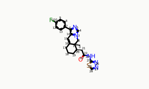 C[C@]12Cn3cnc(-c4ccc(F)cc4)c3C=C1CCC[C@@H]2CC(=O)Nc1nncs1